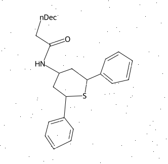 CCCCCCCCCCCC(=O)NC1CC(c2ccccc2)SC(c2ccccc2)C1